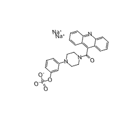 O=C(c1c2ccccc2nc2ccccc12)N1CCN(c2cccc(OP(=O)([O-])[O-])c2)CC1.[Na+].[Na+]